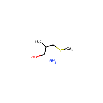 CSCC(C)CO.N